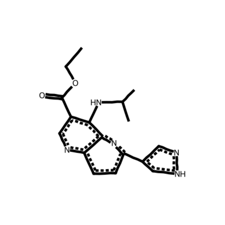 CCOC(=O)c1cnc2ccc(-c3cn[nH]c3)nc2c1NC(C)C